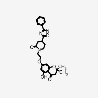 CC1(C)CC(=O)c2c(O)cc(OCCN3CCC(c4nc(-c5ccccc5)no4)CC3=O)cc2O1